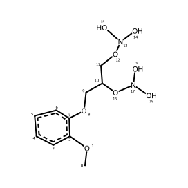 COc1ccccc1OCC(CON(O)O)ON(O)O